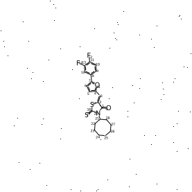 O=C1/C(=C/c2ccc(-c3ccc(F)c(F)c3)o2)SC(=S)N1C1CCCCCCC1